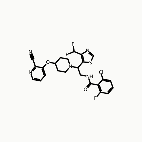 N#Cc1ncccc1OC1CCN(C(CNC(=O)c2c(F)cccc2Cl)c2scnc2C(F)F)CC1